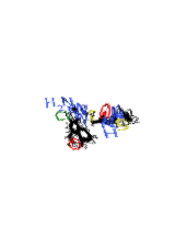 Nc1nc(SCC(=O)Nc2nccs2)nc(-c2c(Cl)cc3c4c(cccc24)COC3)n1